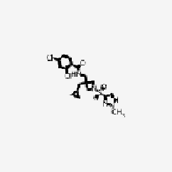 Cn1ncc(S(=O)(=O)N2CC(CNC(=O)c3ccc(Cl)cc3Cl)(CC3CC3)C2)n1